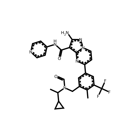 Cc1c(CN(C=O)C(C)C2CC2)cc(-c2ccn3nc(N)c(C(=O)Nc4ccncc4)c3n2)cc1C(F)(F)F